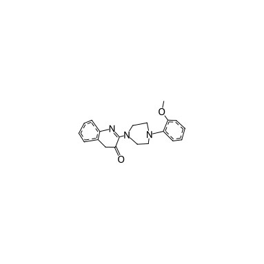 COc1ccccc1N1CCN(C2=Nc3ccccc3CC2=O)CC1